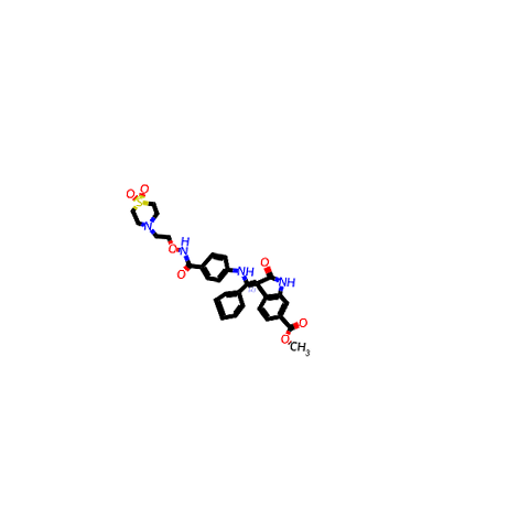 COC(=O)c1ccc2c(c1)NC(=O)/C2=C(\Nc1ccc(C(=O)NOCCN2CCS(=O)(=O)CC2)cc1)c1ccccc1